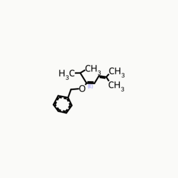 CC(C)=C/C=C(/OCc1ccccc1)C(C)C